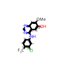 COc1cc2ncnc(Nc3ccc(C(F)(F)F)c(Cl)c3)c2cc1O